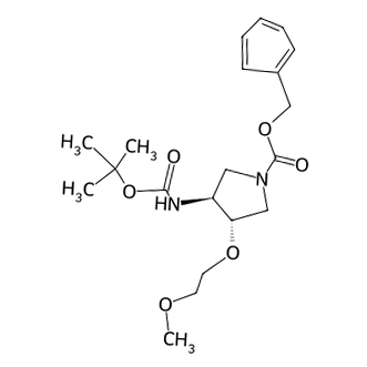 COCCO[C@H]1CN(C(=O)OCc2ccccc2)C[C@@H]1NC(=O)OC(C)(C)C